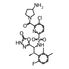 Cc1ccc(F)c([C@@H](C)[C@H](NS(=O)(=O)c2ccc(Cl)c(C(=O)N3CCC(N)C3)n2)c2n[nH]c(=O)o2)c1C